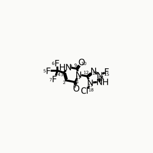 O=c1cc(C(F)(F)F)[nH]c(=O)n1C1=NN(F)NN1Cl